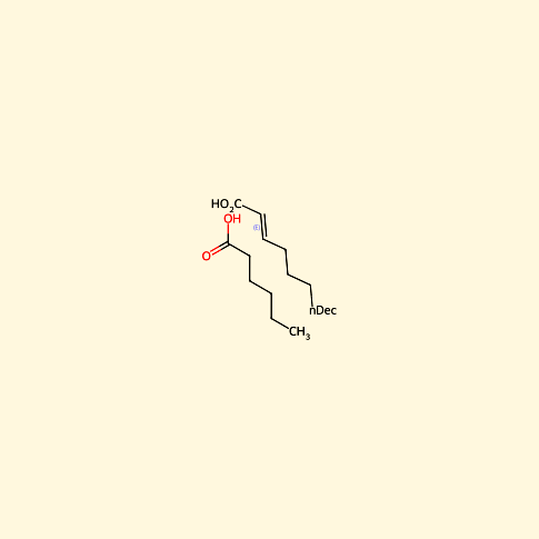 CCCCCC(=O)O.CCCCCCCCCCCCC/C=C/C(=O)O